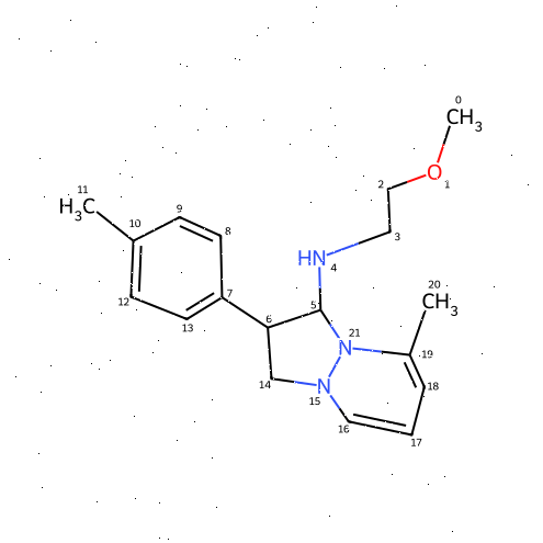 COCCNC1C(c2ccc(C)cc2)CN2C=CC=C(C)N12